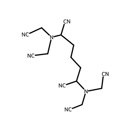 N#CCN(CC#N)C(C#N)CCCC(C#N)N(CC#N)CC#N